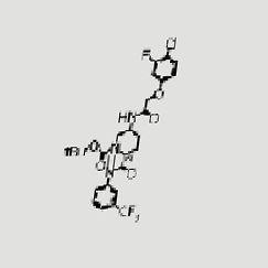 CC(C)(C)OC(=O)N1CC(NC(=O)COc2ccc(Cl)c(F)c2)CC[C@H]1C(=O)Nc1cccc(C(F)(F)F)c1